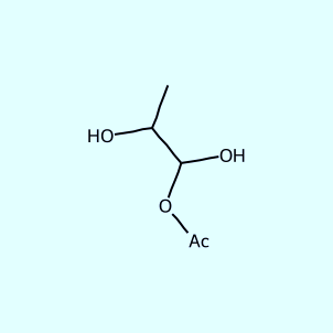 CC(=O)OC(O)C(C)O